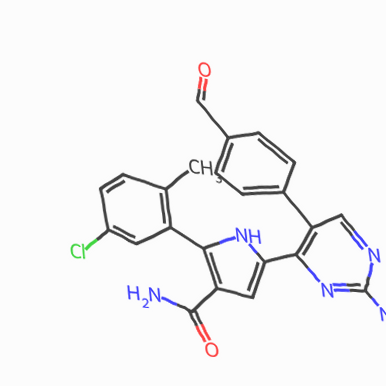 Cc1ccc(Cl)cc1-c1[nH]c(-c2nc(N)ncc2-c2ccc(C=O)cc2)cc1C(N)=O